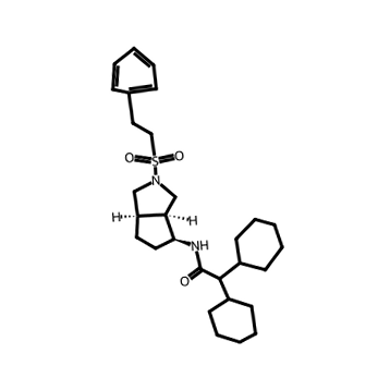 O=C(N[C@H]1CC[C@H]2CN(S(=O)(=O)CCc3ccccc3)C[C@H]21)C(C1CCCCC1)C1CCCCC1